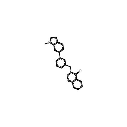 Cn1ccc2ccc(-c3cccc(Cn4cnc5ccccc5c4=O)c3)cc21